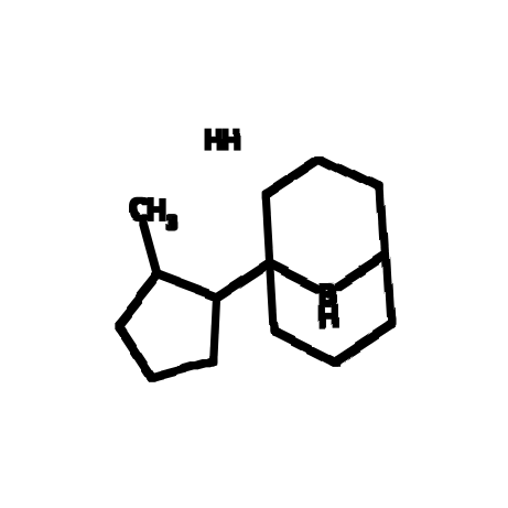 CC1CCCC1C12BC(CCC1)CCC2.[HH]